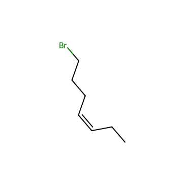 CC/C=C\CCCBr